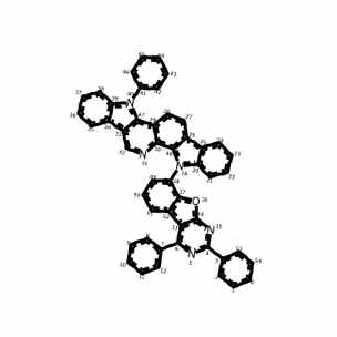 c1ccc(-c2nc(-c3ccccc3)c3c(n2)oc2c(-n4c5ccccc5c5ccc6c(ncc7c8ccccc8n(-c8ccccc8)c76)c54)cccc23)cc1